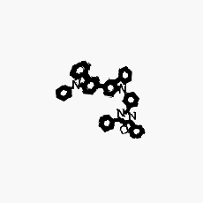 c1ccc(-c2nc(-c3cccc(-n4c5ccccc5c5cc(-c6ccc7c(c6)c6ccccc6n7-c6ccccc6)ccc54)c3)nc3c2oc2ccccc23)cc1